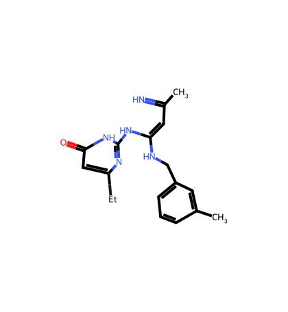 CCc1cc(=O)[nH]c(N/C(=C\C(C)=N)NCc2cccc(C)c2)n1